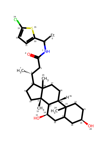 CCC(NC(=O)C[C@@H](C)C1CC[C@@]2(C)C3[C@H](O)CC4C[C@H](O)CCC4(C)[C@H]3CCC12C)c1ccc(Cl)s1